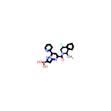 CC1c2ccccc2C(F)CN1C(=O)c1cc(-c2ccccn2)n2nc(B(O)O)cc2n1